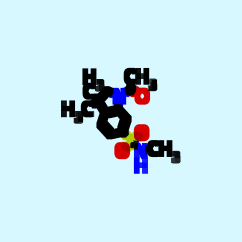 CNS(=O)(=O)c1ccc2c(c1)N(C(C)=O)CC2(C)C